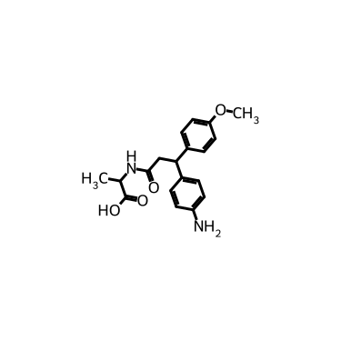 COc1ccc(C(CC(=O)NC(C)C(=O)O)c2ccc(N)cc2)cc1